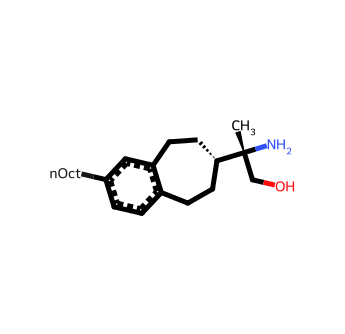 CCCCCCCCc1ccc2c(c1)CC[C@H]([C@](C)(N)CO)CC2